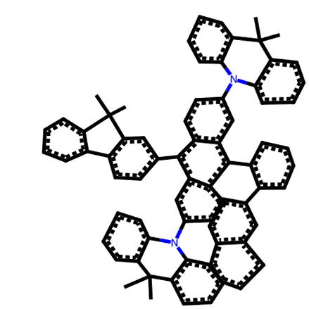 CC1(C)c2ccccc2-c2ccc(-c3c4cc(N5c6ccccc6C(C)(C)c6ccccc65)ccc4c(-c4ccccc4-c4ccc5ccccc5c4)c4cc(N5c6ccccc6C(C)(C)c6ccccc65)ccc34)cc21